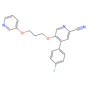 N#Cc1cc(-c2ccc(F)cc2)c(OCCCOc2cccnc2)cn1